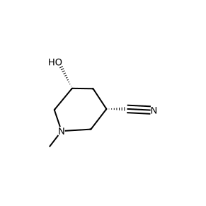 CN1C[C@H](O)C[C@H](C#N)C1